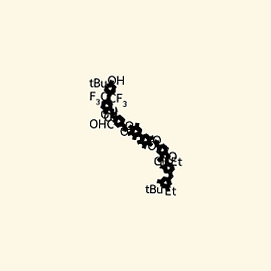 CCc1cc(Cc2cc(C)c(C(C)(C)C)c(CC)c2)cc(C)c1N1C(=O)c2ccc(C(=O)Oc3c(C)cc(-c4cc(C)c(OC(=O)c5ccc(C(=O)N(C)c6cc(C(c7ccc(O)c(C(C)(C)C)c7)(C(F)(F)F)C(F)(F)F)ccc6O)c(C=O)c5)c(C)c4C)c(C)c3C)cc2C1=O